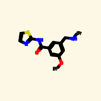 CC(C)NCc1cc(OC(C)C)cc(C(=O)Nc2nccs2)c1